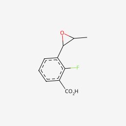 CC1OC1c1cccc(C(=O)O)c1F